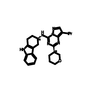 CC(C)c1cnn2c(N[C@H]3CCc4[nH]c5ccccc5c4C3)nc([C@H]3CCCOC3)nc12